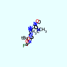 CN(C)c1cc(-c2cn(Cc3cn4cc(CN(CC56CC(F)(C5)C6)C(=O)OC(C)(C)C)ccc4n3)nn2)c2cnn(C3CCCCO3)c2c1